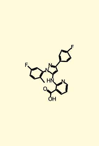 Cc1ccc(F)cc1-n1nc(-c2ccc(F)cc2)cc1Nc1ncccc1C(=O)O